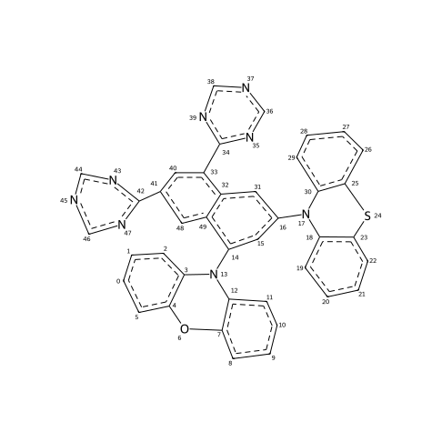 c1ccc2c(c1)Oc1ccccc1N2c1cc(N2c3ccccc3Sc3ccccc32)cc2c(-c3ncncn3)cc(-c3ncncn3)cc12